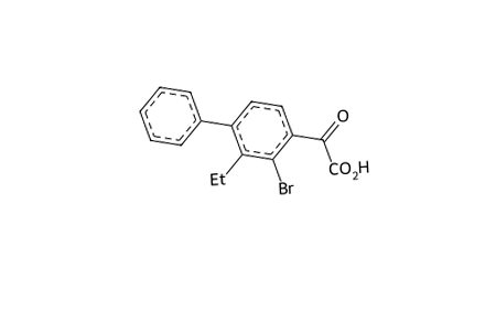 CCc1c(-c2ccccc2)ccc(C(=O)C(=O)O)c1Br